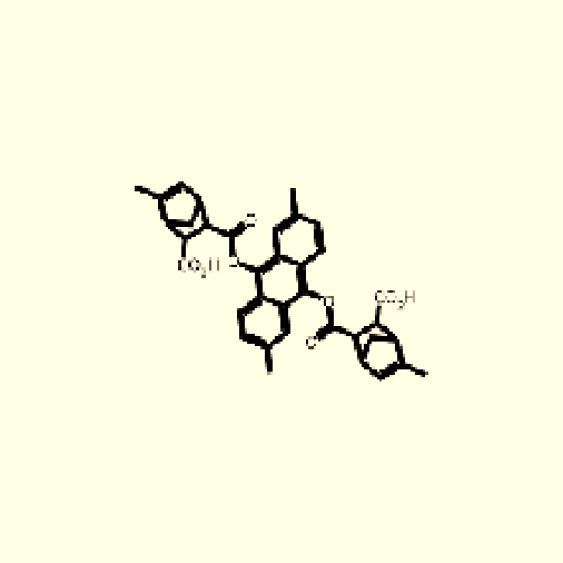 CC1=CC2CC1C(C(=O)O)C2C(=O)Oc1c2ccc(C)cc2c(OC(=O)C2C3C=C(C)C(C3)C2C(=O)O)c2ccc(C)cc12